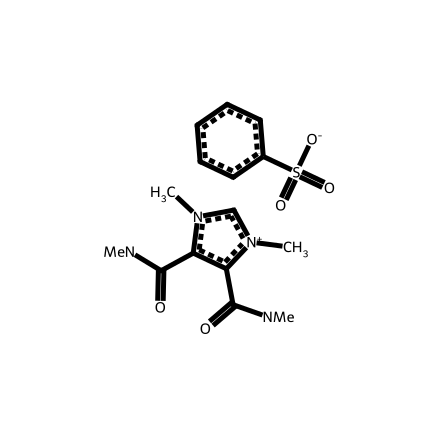 CNC(=O)c1c(C(=O)NC)[n+](C)cn1C.O=S(=O)([O-])c1ccccc1